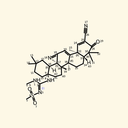 CN/C(=N\S(C)(=O)=O)N[C@]12CCC(C)(C)C[C@H]1[C@@]13N=C1C=C1[C@@]4(C)C=C(C#N)C(=O)C(C)(C)[C@@H]4CC[C@@]1(C)[C@]3(C)CC2